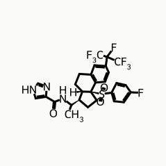 CC(NC(=O)c1c[nH]cn1)[C@@H]1CC[C@@]2(S(=O)(=O)c3ccc(F)cc3)c3ccc(C(F)(C(F)(F)F)C(F)(F)F)cc3CC[C@@H]12